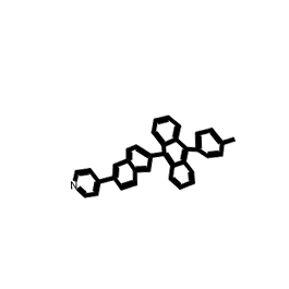 Cc1ccc(-c2c3ccccc3c(-c3ccc4cc(-c5ccncc5)ccc4c3)c3ccccc23)cc1